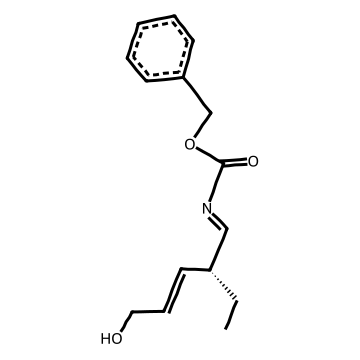 CC[C@H](C=CCO)C=NC(=O)OCc1ccccc1